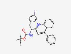 CC(C)(C)OC(=O)NC(Cc1ccc(I)cc1)c1cc(-c2ccccc2)c2ccccc2n1